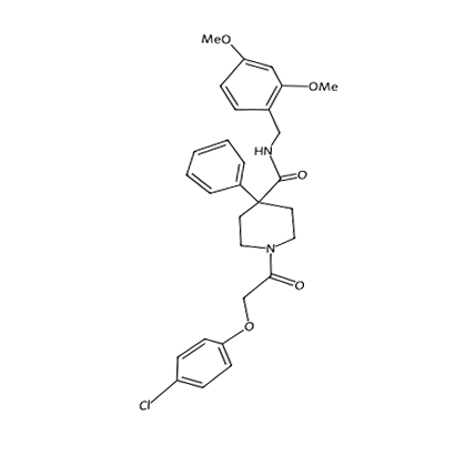 COc1ccc(CNC(=O)C2(c3ccccc3)CCN(C(=O)COc3ccc(Cl)cc3)CC2)c(OC)c1